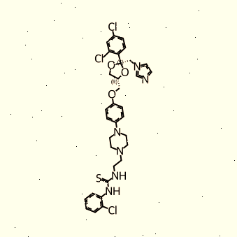 S=C(NCCN1CCN(c2ccc(OC[C@@H]3CO[C@@](Cn4ccnc4)(c4ccc(Cl)cc4Cl)O3)cc2)CC1)Nc1ccccc1Cl